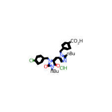 CCCCc1ncc(C=C2C(=O)N(CCCC)C(=O)N2Cc2ccc(Cl)cc2)n1Cc1ccc(C(=O)O)cc1.Cl